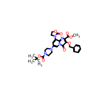 COC(=O)c1nc2c(N3CCOC3=O)cc(N3CCN(C(=O)OC(C)(C)C)CC3)cn2c(=O)c1OCc1ccccc1